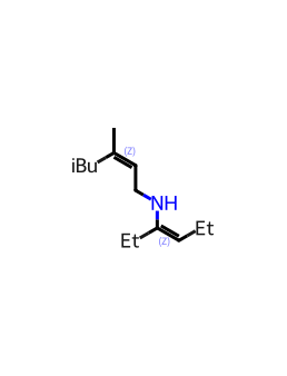 CC/C=C(/CC)NC/C=C(/C)C(C)CC